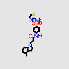 Cc1cccc2c1ccn2CCC(=O)Nc1ccc(S(=O)(=O)Nc2nccs2)cc1